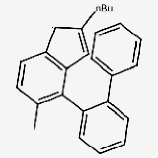 CCCCC1=Cc2c(ccc(C)c2-c2ccccc2-c2ccccc2)[CH]1